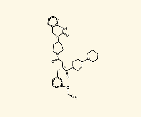 CCOc1cccc(C[C@H](CC(=O)N2CCC(N3Cc4ccccc4NC3=O)CC2)C(=O)N2CCC(N3CCCCC3)CC2)c1